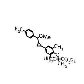 CCOC(=O)C(C)(C)Oc1c(C)cc(C2CC2C(OC)c2ccc(C(F)(F)F)cc2)cc1C